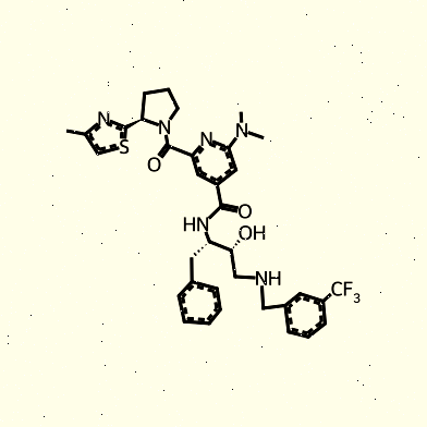 Cc1csc([C@H]2CCCN2C(=O)c2cc(C(=O)N[C@@H](Cc3ccccc3)[C@H](O)CNCc3cccc(C(F)(F)F)c3)cc(N(C)C)n2)n1